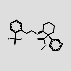 CNC(=S)C1(c2cccnc2)CCCCC1=NOCc1ccccc1C(F)(F)F